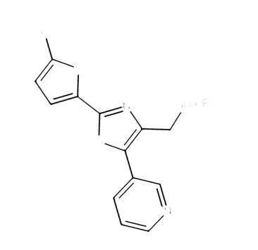 CCOC(=O)Cc1nc(-c2ccc(Cl)s2)oc1-c1cccnc1